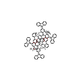 Cc1cc(-n2c3ccccc3c3ccccc32)cc(C)c1B(c1c(C)cc(-n2c3ccccc3c3ccccc32)cc1C)c1cc(-c2ccccc2-c2ccccc2)c2ccc3c(B(c4c(C)cc(-n5c6ccccc6c6ccccc65)cc4C)c4c(C)cc(-n5c6ccccc6c6ccccc65)cc4C)cc(-c4ccccc4-c4ccccc4)c4ccc1c2c34